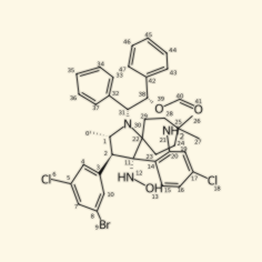 C[C@H]1[C@H](c2cc(Cl)cc(Br)c2)[C@](NO)(c2ccc(Cl)cc2N)C2(CCC(C)(C)CC2)N1[C@H](c1ccccc1)[C@@H](OC=O)c1ccccc1